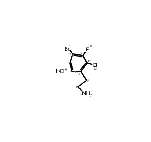 Cl.NCCc1ccc(Br)c(F)c1Cl